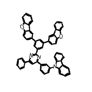 c1ccc(-c2cc(-c3cccc(-n4c5ccccc5c5ccccc54)c3)nc(-c3cc(-c4ccc5oc6ccccc6c5c4)cc(-c4ccc5oc6ccccc6c5c4)c3)n2)cc1